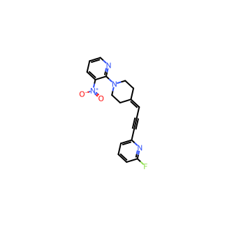 O=[N+]([O-])c1cccnc1N1CCC(=CC#Cc2cccc(F)n2)CC1